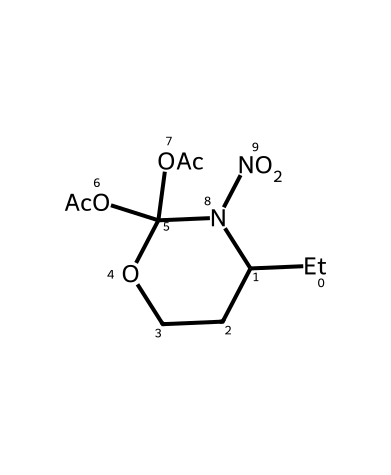 CCC1CCOC(OC(C)=O)(OC(C)=O)N1[N+](=O)[O-]